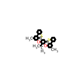 Cc1cc2c3c(c1)-c1ccccc1SB3c1cc3c(c(C(C)C)c1O2)Oc1cc(C)cc2c1B3Sc1ccccc1-2